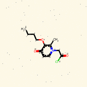 CCCCOc1c(C)n(CC(=O)Cl)ccc1=O